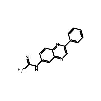 CC(=N)Nc1ccc2nc(-c3ccccc3)cnc2c1